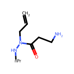 C=CCN(NCCC)C(=O)CCN